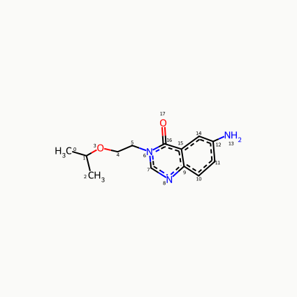 CC(C)OCCn1cnc2ccc(N)cc2c1=O